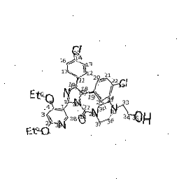 CCOc1cc(OCC)c(C2=N[C@@H](c3ccc(Cl)cc3)[C@@H](c3ccc(Cl)cc3)N2C(=O)N2CCN(CCO)CC2)cn1